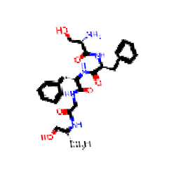 N[C@@H](CO)C(=O)N[C@@H](Cc1ccccc1)C(=O)N[C@@H](Cc1ccccc1)C(=O)NCC(=O)N[C@@H](CO)C(=O)O